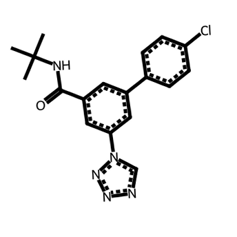 CC(C)(C)NC(=O)c1cc(-c2ccc(Cl)cc2)cc(-n2cnnn2)c1